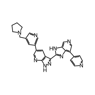 c1cc(-c2cncc3[nH]c(-c4n[nH]c5ncc(-c6cncc(CN7CCCC7)c6)cc45)nc23)ccn1